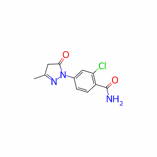 CC1=NN(c2ccc(C(N)=O)c(Cl)c2)C(=O)C1